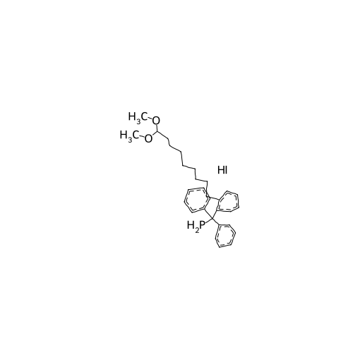 COC(CCCCCCCCc1ccccc1C(P)(c1ccccc1)c1ccccc1)OC.I